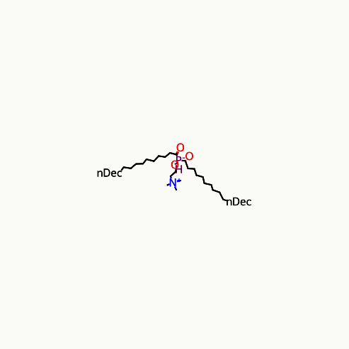 CCCCCCCCCCCCCCCCCCCC(=O)[PH-](OCC[N+](C)(C)C)C(=O)CCCCCCCCCCCCCCCCCCC